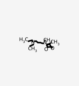 CCCN(CCC)CCCCN(C)c1c(C)c(=O)c1=O